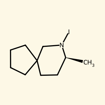 C[C@H]1CCC2(CCCC2)CN1I